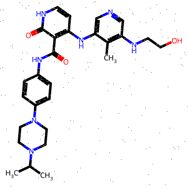 Cc1c(NCCO)cncc1Nc1cc[nH]c(=O)c1C(=O)Nc1ccc(N2CCN(C(C)C)CC2)cc1